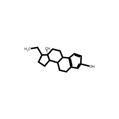 CCC1CCC2C3CCc4cc(O)ccc4C3CC[C@]12C